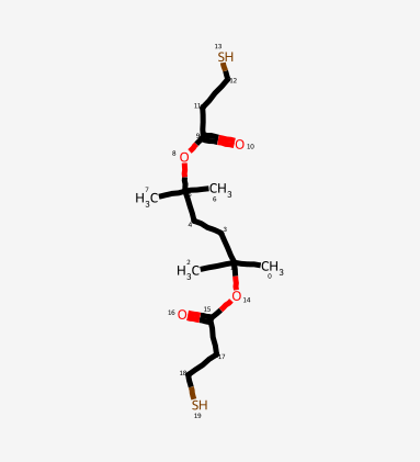 CC(C)(CCC(C)(C)OC(=O)CCS)OC(=O)CCS